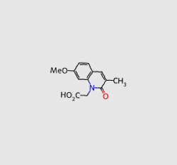 COc1ccc2cc(C)c(=O)n(CC(=O)O)c2c1